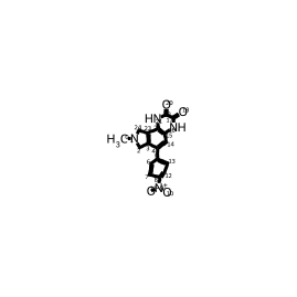 CN1Cc2c(-c3ccc([N+](=O)[O-])cc3)cc3[nH]c(=O)c(=O)[nH]c3c2C1